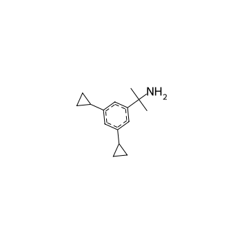 CC(C)(N)c1cc(C2CC2)cc(C2CC2)c1